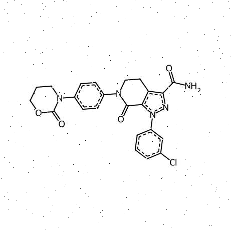 NC(=O)c1nn(-c2cccc(Cl)c2)c2c1CCN(c1ccc(N3CCCOC3=O)cc1)C2=O